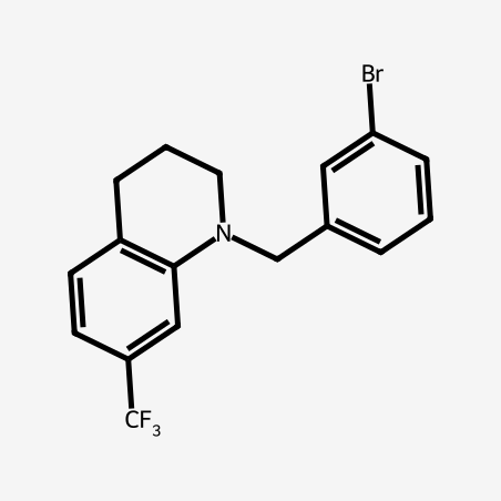 FC(F)(F)c1ccc2c(c1)N(Cc1cccc(Br)c1)CCC2